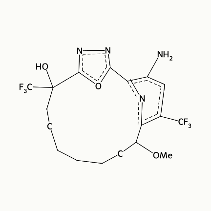 COC1CCCCCCC(O)(C(F)(F)F)c2nnc(o2)-c2nc1c(C(F)(F)F)cc2N